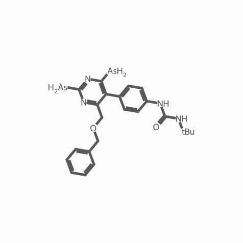 CC(C)(C)NC(=O)Nc1ccc(-c2c([AsH2])nc([AsH2])nc2COCc2ccccc2)cc1